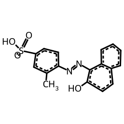 Cc1cc(S(=O)(=O)O)ccc1N=Nc1c(O)ccc2ccccc12